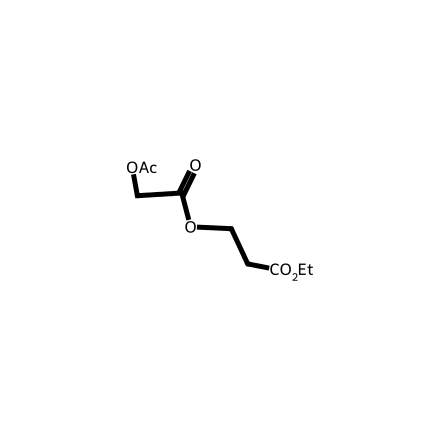 CCOC(=O)CCOC(=O)COC(C)=O